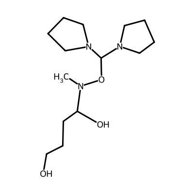 CN(OC(N1CCCC1)N1CCCC1)C(O)CCCO